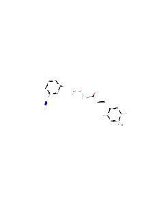 N#Cc1cccc(OCCNC(=O)C=Cc2ccc(Cl)cc2)c1